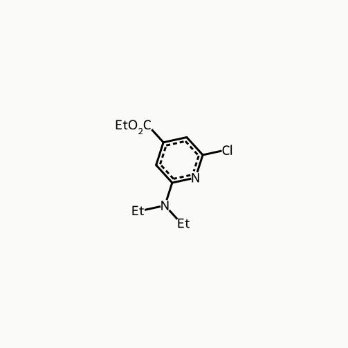 CCOC(=O)c1cc(Cl)nc(N(CC)CC)c1